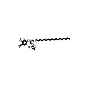 CCCCCCCCCCCCCCCCCCOC[C@H](COP(=O)(O)O)Oc1ccc(C#N)c(OC)c1F